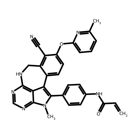 C=CC(=O)Nc1ccc(-c2c3c4c(ncnc4n2C)NCc2c-3ccc(Oc3cccc(C)n3)c2C#N)cc1